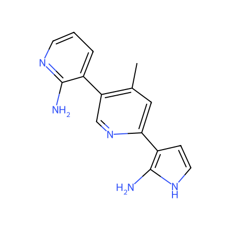 Cc1cc(-c2cc[nH]c2N)ncc1-c1cccnc1N